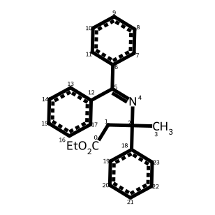 CCOC(=O)CC(C)(N=C(c1ccccc1)c1ccccc1)c1ccccc1